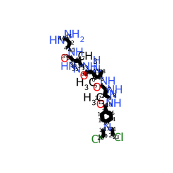 Cc1c(NC(=O)c2[nH]nc(NC(=O)c3ccc(N(CCCl)CCCl)cc3)c2C)c[nH]c1C(=O)Nc1n[nH]c(C(=O)NCCC(=N)N)c1C